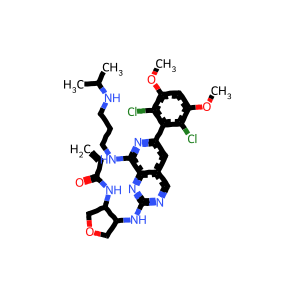 C=CC(=O)NC1COCC1Nc1ncc2cc(-c3c(Cl)c(OC)cc(OC)c3Cl)nc(NCCCNC(C)C)c2n1